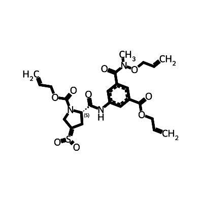 C=CCOC(=O)c1cc(NC(=O)[C@@H]2CC(=S(=O)=O)CN2C(=O)OCC=C)cc(C(=O)N(C)OCC=C)c1